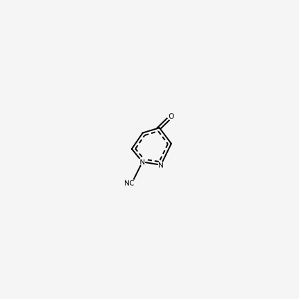 N#Cn1ccc(=O)cn1